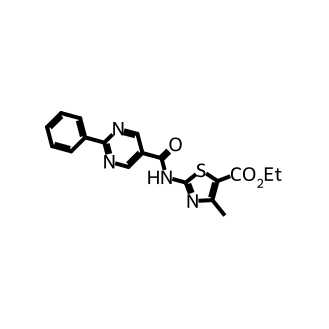 CCOC(=O)c1sc(NC(=O)c2cnc(-c3ccccc3)nc2)nc1C